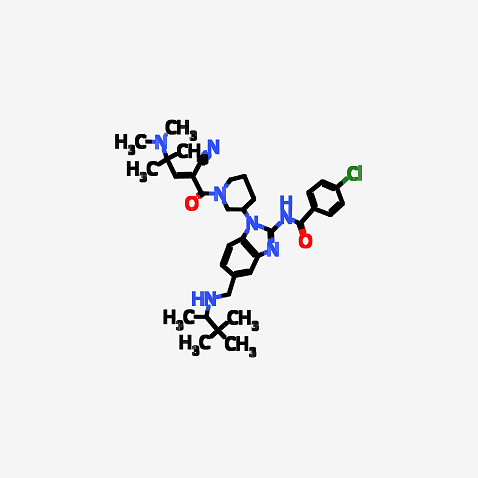 CC(NCc1ccc2c(c1)nc(NC(=O)c1ccc(Cl)cc1)n2C1CCCN(C(=O)C(C#N)=CC(C)(C)N(C)C)C1)C(C)(C)C